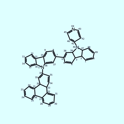 C1=CC2C3C=CC(c4ccc5c6ccccc6n(C6=CC7c8ccccc8-c8ccccc8C7C=C6)c5c4)=CC3N(c3ccncc3)C2C=C1